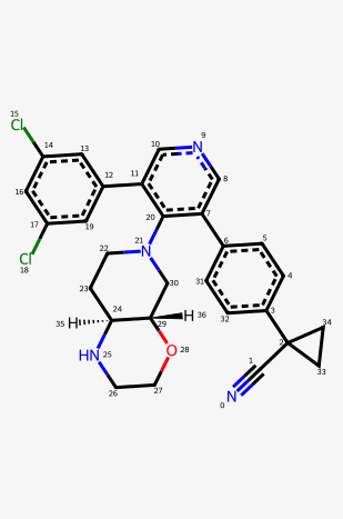 N#CC1(c2ccc(-c3cncc(-c4cc(Cl)cc(Cl)c4)c3N3CC[C@@H]4NCCO[C@H]4C3)cc2)CC1